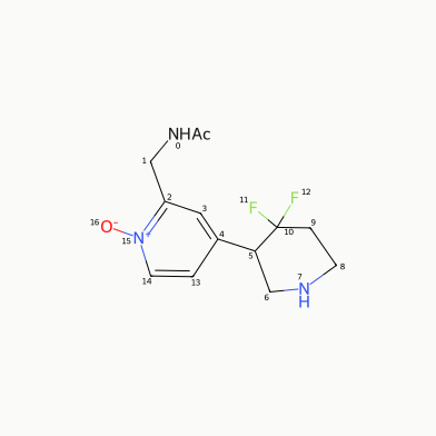 CC(=O)NCc1cc(C2CNCCC2(F)F)cc[n+]1[O-]